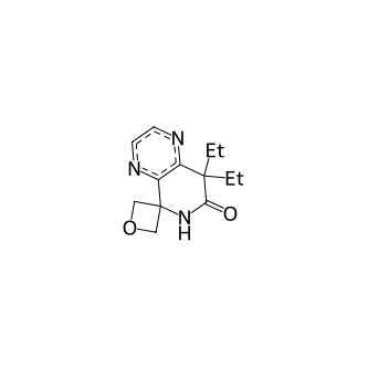 CCC1(CC)C(=O)NC2(COC2)c2nccnc21